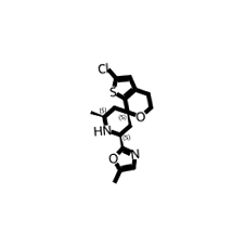 Cc1cnc([C@@H]2C[C@]3(C[C@H](C)N2)OCCc2cc(Cl)sc23)o1